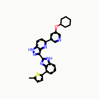 Cc1ccc(-c2cccc3[nH]c(-c4n[nH]c5ccc(-c6cncc(OC7CCCCC7)c6)nc45)nc23)s1